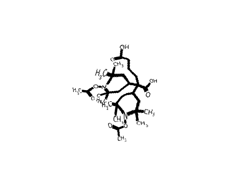 CC(=O)ON1C(C)(C)CC(C(CCCC(=O)O)(C(=O)O)C2CC(C)(C)N(OC(C)=O)C(C)(C)C2)CC1(C)C